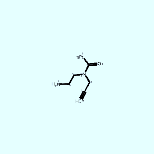 C#CCN(CCN)C(=O)CCC